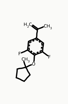 C=C(C)c1cc(F)c(OC2(C)CCCC2)c(F)c1